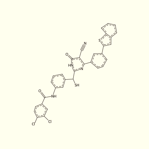 N#Cc1c(-c2cccc(-c3cc4ccccc4s3)c2)nc(C(S)c2cccc(NC(=O)c3ccc(Cl)c(Cl)c3)c2)[nH]c1=O